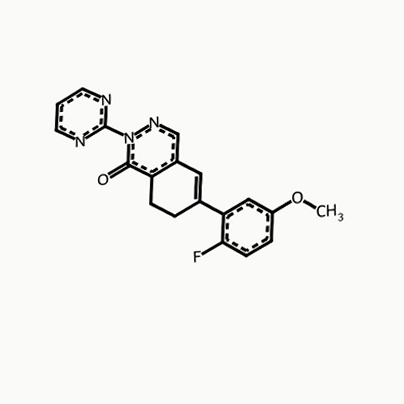 COc1ccc(F)c(C2=Cc3cnn(-c4ncccn4)c(=O)c3CC2)c1